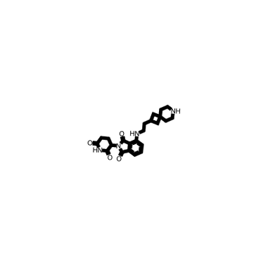 O=C1CCC(N2C(=O)c3cccc(NCCC4CC5(CCNCC5)C4)c3C2=O)C(=O)N1